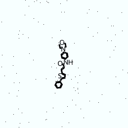 O=C(/C=C/c1ccc(-c2ccccc2)s1)Nc1ccc(N2CCOCC2)cc1